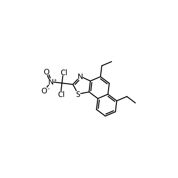 CCc1cccc2c1cc(CC)c1nc(C(Cl)(Cl)[N+](=O)[O-])sc12